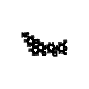 CC1CN(c2ccc(-n3cc(Cl)c4c(-c5ccc(C#N)cc5)cccc4c3=O)cc2Cl)CC(C)O1